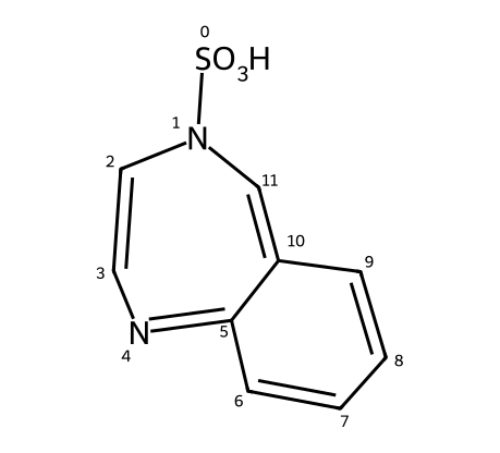 O=S(=O)(O)N1C=CN=c2ccccc2=C1